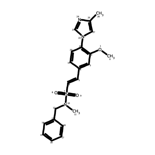 COc1cc(/C=C/S(=O)(=O)N(C)Cc2ccccc2)ccc1-n1cnc(C)c1